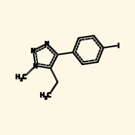 CCc1c(-c2ccc(I)cc2)nnn1C